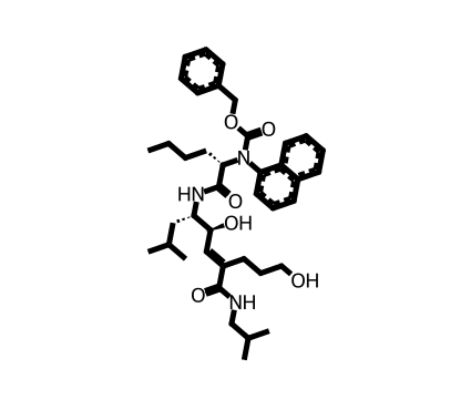 CCCC[C@@H](C(=O)N[C@@H](CC(C)C)[C@@H](O)/C=C(\CCCO)C(=O)NCC(C)C)N(C(=O)OCc1ccccc1)c1cccc2ccccc12